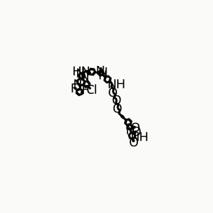 O=C1CCC(N2Cc3cc(C#CCCOCCOCCOCCNC4CCC(n5cc(-c6ccc(Nc7ncc8c(n7)-c7ccc(Cl)cc7C(c7c(F)cccc7F)=NC8)cc6)nn5)CC4)ccc3C2=O)C(=O)N1